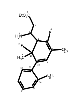 CCOC(=O)CC(N)C1C(F)=C(C(F)(F)F)C=C(c2ccccc2C)C1(C)F